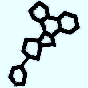 c1ccc2c(c1)c1ccccc1n1c3ccc(-c4ccncc4)cc3nc21